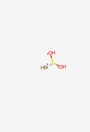 Br.OSO